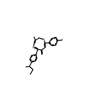 C=C1/C=C(/c2ccc(F)cc2)SC/C(C)=C\N=C/1c1ccc(C(C)CC)cc1